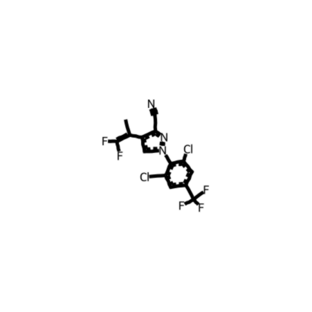 CC(=C(F)F)c1cn(-c2c(Cl)cc(C(F)(F)F)cc2Cl)nc1C#N